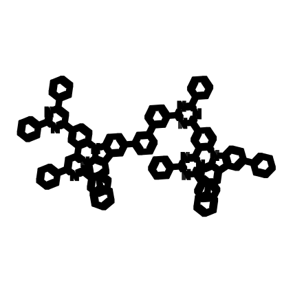 C1=CC(c2ccc3c(c2)c2cc(-c4ccccc4)ccc2n3-c2ccc(-c3nc(-c4ccccc4)nc(-c4cccc(-c5cccc(-c6ccc7c(c6)c6cc(-c8ccccc8)ccc6n7-c6ccc(-c7cc(-c8ccccc8)nc(-c8ccccc8)n7)cc6-c6cc(-c7ccccc7)nc(-c7ccccc7)n6)c5)c4)n3)cc2-c2nc(-c3ccccc3)nc(-c3ccccc3)n2)=CCC1